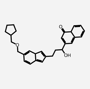 O=C1C=C(C(O)CCC2=CC3C=C(COCC4CCCC4)C=CC3=C2)C=C2C=CC=CC12